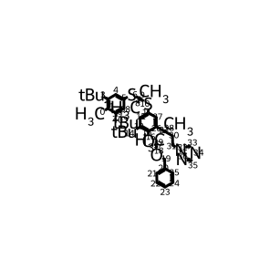 Cc1c(C(C)(C)C)cc(SC(C)(C)Sc2cc(C(C)(C)C)c(OCOCc3ccccc3)c(C(C)(C)CCn3cncn3)c2)cc1C(C)(C)C